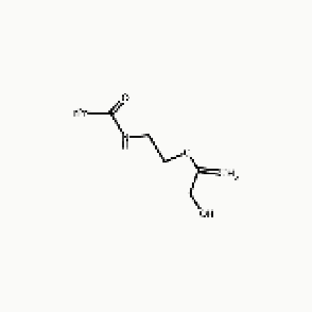 C=C(CO)OCCNC(=O)CCC